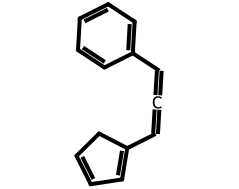 C(=CC1=CC=CC1)=Cc1ccccc1